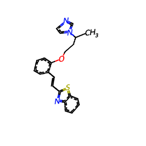 CC(CCOc1ccccc1/C=C/c1nc2ccccc2s1)n1ccnc1